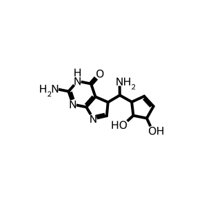 Nc1nc2c(c(=O)[nH]1)C(C(N)C1C=CC(O)C1O)C=N2